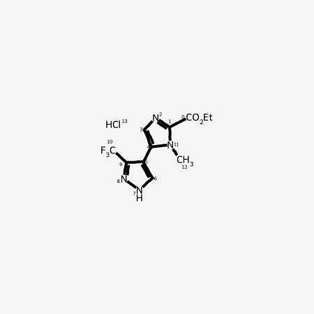 CCOC(=O)c1ncc(-c2c[nH]nc2C(F)(F)F)n1C.Cl